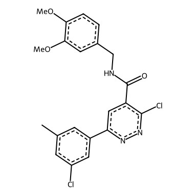 COc1ccc(CNC(=O)c2cc(-c3cc(C)cc(Cl)c3)nnc2Cl)cc1OC